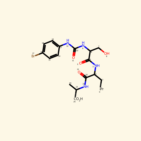 CC(C)CC(NC(=O)C(CO)NC(=O)Nc1ccc(Br)cc1)C(=O)NC(C)C(=O)O